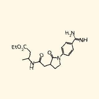 CCOC(=O)CC(C)NC(=O)CC1CCN(c2ccc(C(=N)N)cc2)C1=O